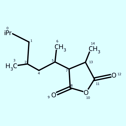 CC(C)CC(C)CC(C)C1C(=O)OC(=O)C1C